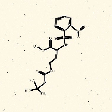 COC(=O)[C@H](CCNC(=O)OC(C)(C)C)NS(=O)(=O)c1ccccc1[N+](=O)[O-]